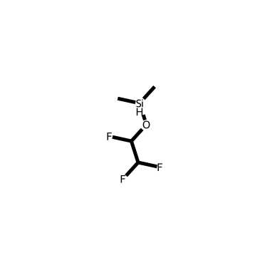 C[SiH](C)OC(F)C(F)F